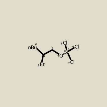 CCCCC(CC)CO[Si](Cl)(Cl)Cl